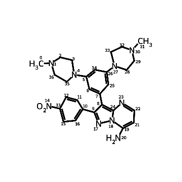 CN1CCN(c2cc(-c3c(-c4ccc([N+](=O)[O-])cc4)nn4c(N)ccnc34)cc(N3CCN(C)CC3)c2)CC1